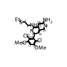 CCSCCNc1nc(-c2c(Cl)c(OC)cc(OC)c2Cl)cc2cnc(N)cc12